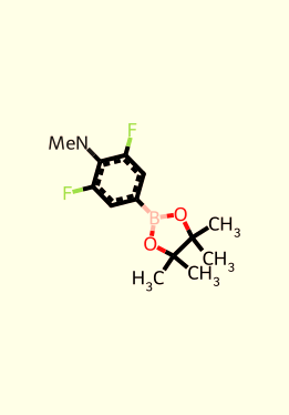 CNc1c(F)cc(B2OC(C)(C)C(C)(C)O2)cc1F